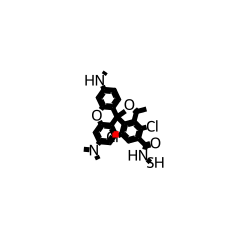 CNc1ccc2c(c1)Oc1cc(N(C)C)ccc1C2(C)c1c(Cl)cc(C(=O)NS)c(Cl)c1C(C)=O